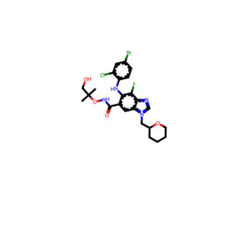 CC(C)(CO)ONC(=O)c1cc2c(ncn2CC2CCCCO2)c(F)c1Nc1ccc(Br)cc1Cl